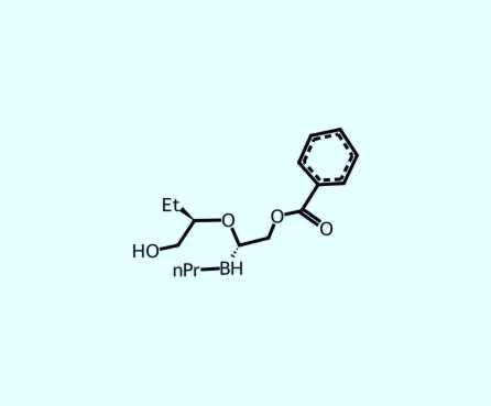 CCCB[C@@H](COC(=O)c1ccccc1)O[C@H](CC)CO